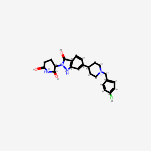 O=C1CCC(n2[nH]c3cc(C4CCN(Cc5ccc(Cl)cc5)CC4)ccc3c2=O)C(=O)N1